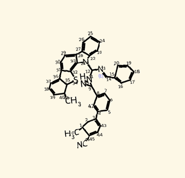 CC1CC(c2cccc(C3NN3C(/N=C/c3ccccc3)n3c4ccccc4c4ccc5c(c43)SC3C5=CC=CC3C)c2)=CC=C1C#N